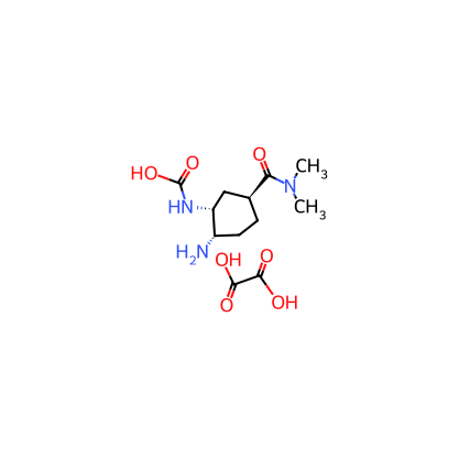 CN(C)C(=O)[C@H]1CC[C@H](N)[C@H](NC(=O)O)C1.O=C(O)C(=O)O